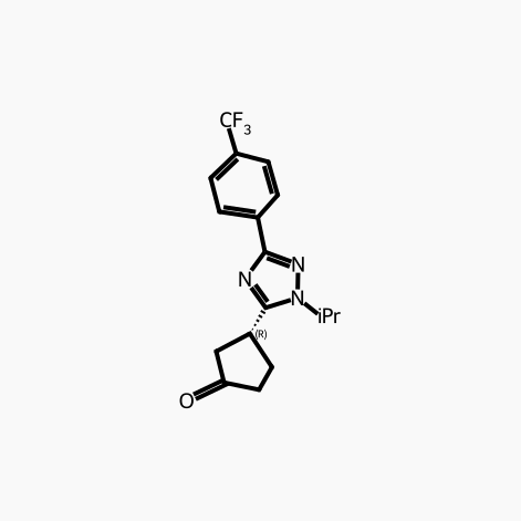 CC(C)n1nc(-c2ccc(C(F)(F)F)cc2)nc1[C@@H]1CCC(=O)C1